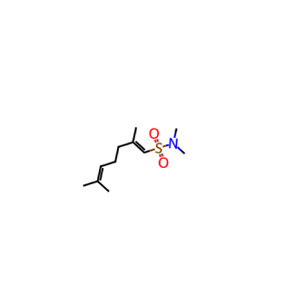 CC(C)=CCCC(C)=CS(=O)(=O)N(C)C